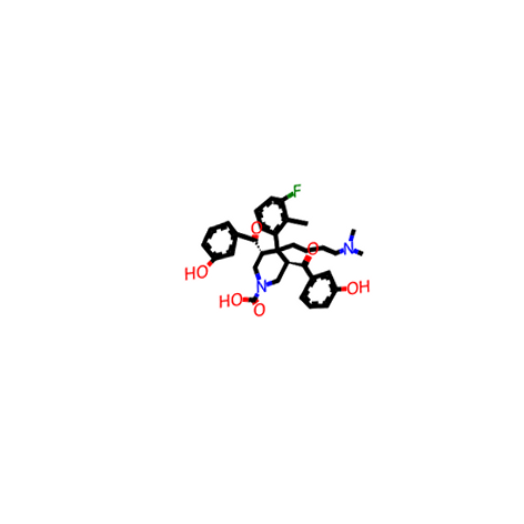 Cc1c(F)cccc1C1(CCCCN(C)C)[C@@H](C(=O)c2cccc(O)c2)CN(C(=O)O)C[C@@H]1C(=O)c1cccc(O)c1